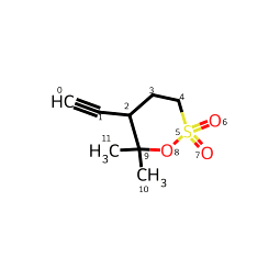 C#CC1CCS(=O)(=O)OC1(C)C